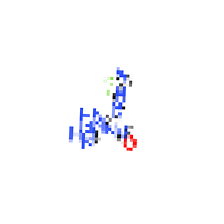 C[C@@H]1COCCN1c1cc(N2CCN(c3cccnc3)C(F)C2)c(C=N)c(Nc2ccn[nH]2)n1